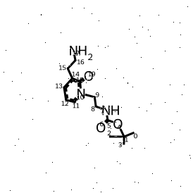 CC(C)(C)OC(=O)NCCn1cccc(CCN)c1=O